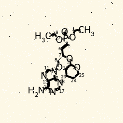 CCOP(=O)(/C=C/[C@@H](COn1cnc2c(N)ncnc21)O[C@@H]1CCCCO1)OCC